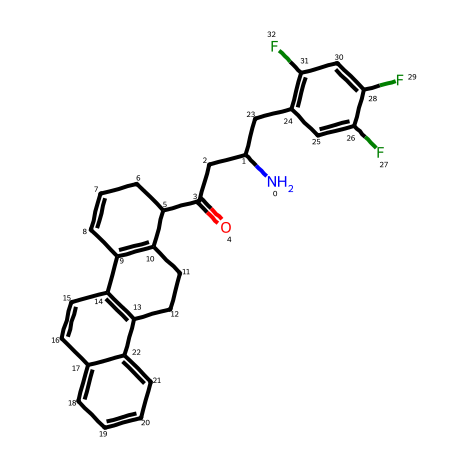 NC(CC(=O)C1CC=CC2=C1CCc1c2ccc2ccccc12)Cc1cc(F)c(F)cc1F